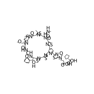 CNC(=O)C[C@@H]1NC(=O)c2csc(n2)-c2ccc(-c3nc(N(CCC(=O)O)C(=O)[C@@H]4CC[C@@H](C(=O)O)C4)cs3)nc2-c2csc(n2)-c2csc(n2)[C@H]([C@@H](O)c2ccccc2)NC(=O)CNC(=O)c2nc(sc2COC)C(C(C)C)NC(=O)c2nc1sc2C